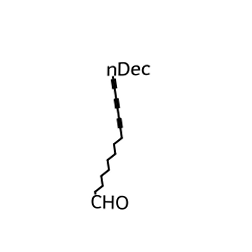 CCCCCCCCCCC#CC#CC#CCCCCCCCCC=O